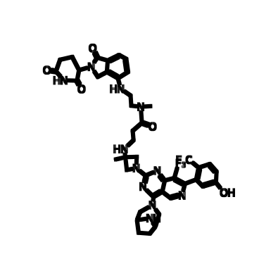 CN(CCNc1cccc2c1CN(C1CCC(=O)NC1=O)C2=O)C(=O)CCNC1(C)CN(c2nc(N3CC4CCC(C3)N4)c3cnc(-c4cc(O)ccc4C(F)(F)F)c(F)c3n2)C1